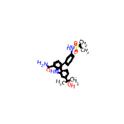 C=C(C)S(=O)(=O)Nc1cccc(-c2ccc(C(N)=O)c3[nH]c4cc(C(C)(C)O)ccc4c23)c1